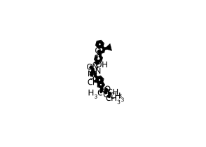 CN(C(=O)OC(C)(C)C)C1Cc2ccc(-c3snc4c(=O)n(CC5(O)CCN(C(=O)CC(c6ccccc6)C6CC6)CC5)cnc34)c(Cl)c2C1